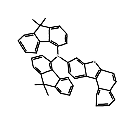 CC1(C)c2ccccc2-c2c(N(c3ccc4c(c3)sc3ccc5ccccc5c34)c3cccc4c3-c3ccccc3C4(C)C)cccc21